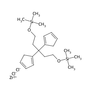 C[Si](C)(C)OCCC(CCO[Si](C)(C)C)(C1=CC=CC1)C1=CC=CC1.[Cl-].[Cl-].[Zr+2]